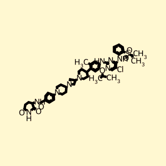 Cc1cc(Nc2ncc(Cl)c(Nc3ccccc3S(=O)(=O)C(C)C)n2)c(OC(C)C)cc1C1CCN(C2CN(C3CCN(c4ccc(C(=O)NC5CCC(=O)NC5=O)cc4)CC3)C2)CC1